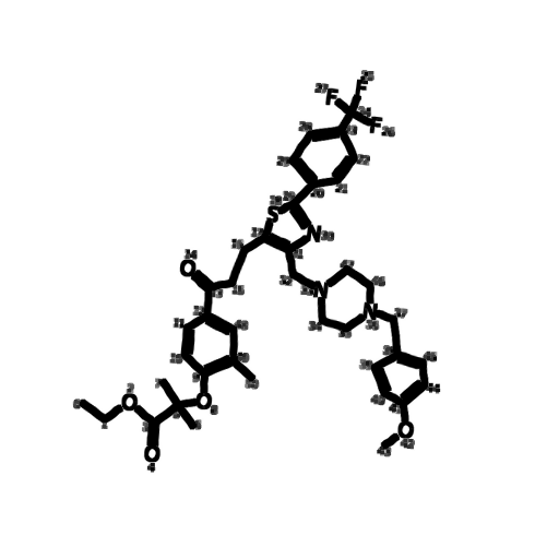 CCOC(=O)C(C)(C)Oc1ccc(C(=O)CCc2sc(-c3ccc(C(F)(F)F)cc3)nc2CN2CCN(Cc3ccc(OC)cc3)CC2)cc1C